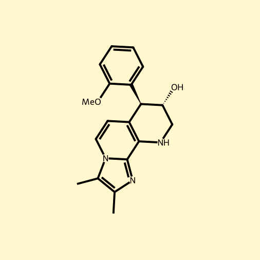 COc1ccccc1[C@@H]1c2ccn3c(C)c(C)nc3c2NC[C@H]1O